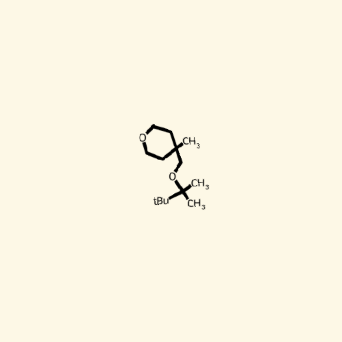 CC1(COC(C)(C)C(C)(C)C)CCOCC1